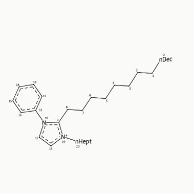 CCCCCCCCCCCCCCCCCCc1n(-c2ccccc2)cc[n+]1CCCCCCC